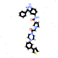 O=C(Nc1ccc2[nH]nc(-c3ccccc3)c2c1)[C@@H]1CCN(CC(=O)N2CCN(c3cccc(-c4ccsc4)c3)CC2)C1